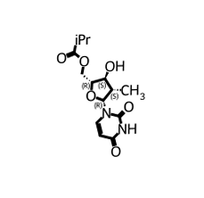 CC(C)C(=O)OC[C@H]1O[C@@H](n2ccc(=O)[nH]c2=O)[C@@H](C)[C@@H]1O